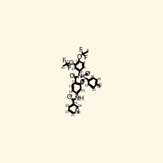 CC(F)(F)Oc1ccc(N(C(=O)c2ccc(NC(=O)c3cccnc3)cc2)S(=O)(=O)c2ccc(F)cc2)cc1OC(C)(F)F